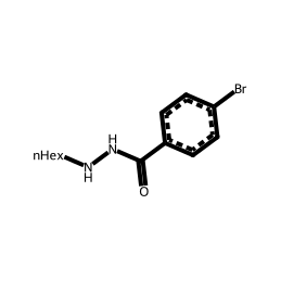 CCCCCCNNC(=O)c1ccc(Br)cc1